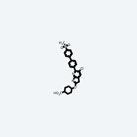 CS(=O)(=O)c1ccc(-c2ccc(-c3nc4c(cc3Cl)CC(OC3CCC(C(=O)O)CC3)=N4)cc2)cc1